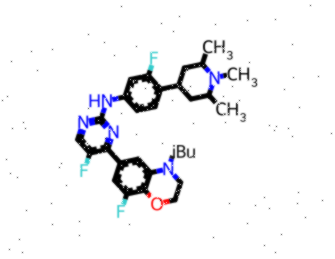 CCC(C)N1CCOc2c(F)cc(-c3nc(Nc4ccc(C5CC(C)N(C)C(C)C5)c(F)c4)ncc3F)cc21